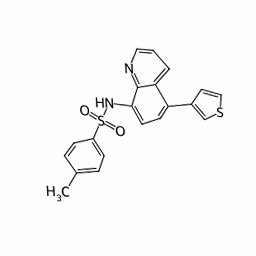 Cc1ccc(S(=O)(=O)Nc2ccc(-c3ccsc3)c3cccnc23)cc1